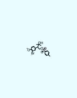 COc1ccc(C(COS(=O)(=O)c2ccc(C)cc2)C(C)(C)O)cc1Br